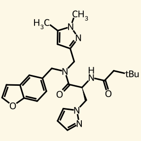 Cc1cc(CN(Cc2ccc3occc3c2)C(=O)[C@H](Cn2cccn2)NC(=O)CC(C)(C)C)nn1C